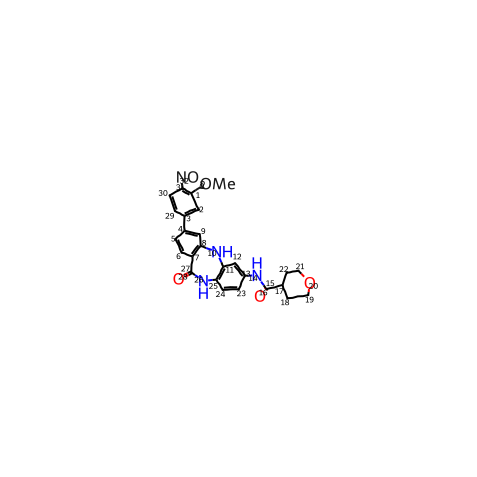 COc1cc(-c2ccc3c(c2)Nc2cc(NC(=O)C4CCOCC4)ccc2NC3=O)ccc1[N+](=O)[O-]